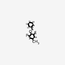 Cc1cc(F)c(OCc2ccccc2)c(F)c1